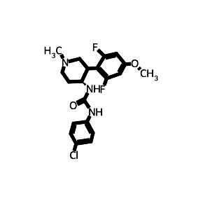 COc1cc(F)c(C2CN(C)CC[C@H]2NC(=O)Nc2ccc(Cl)cc2)c(F)c1